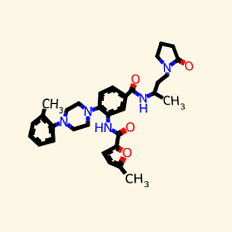 Cc1ccc(C(=O)Nc2cc(C(=O)NC(C)CCN3CCCC3=O)ccc2N2CCN(c3ccccc3C)CC2)o1